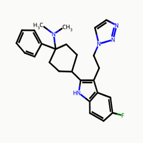 CN(C)C1(c2ccccc2)CCC(c2[nH]c3ccc(F)cc3c2CCn2ccnn2)CC1